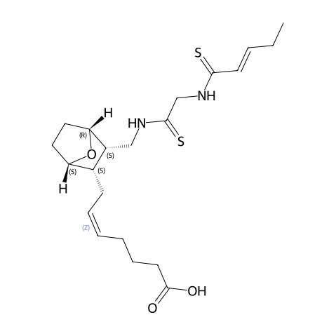 CCC=CC(=S)NCC(=S)NC[C@@H]1[C@H](C/C=C\CCCC(=O)O)[C@@H]2CC[C@H]1O2